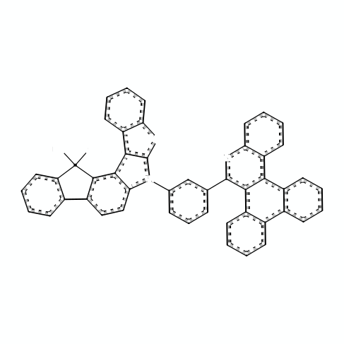 CC1(C)c2ccccc2-c2ccc3c(c21)c1c2ccccc2sc1n3-c1cccc(-c2nc3ccccc3c3c4ccccc4c4ccccc4c23)c1